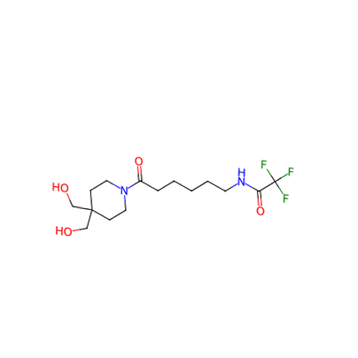 O=C(CCCCCNC(=O)C(F)(F)F)N1CCC(CO)(CO)CC1